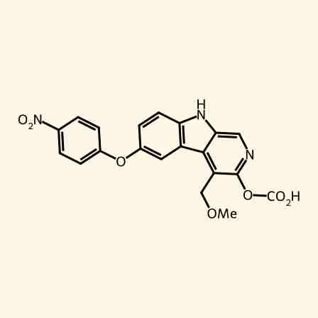 COCc1c(OC(=O)O)ncc2[nH]c3ccc(Oc4ccc([N+](=O)[O-])cc4)cc3c12